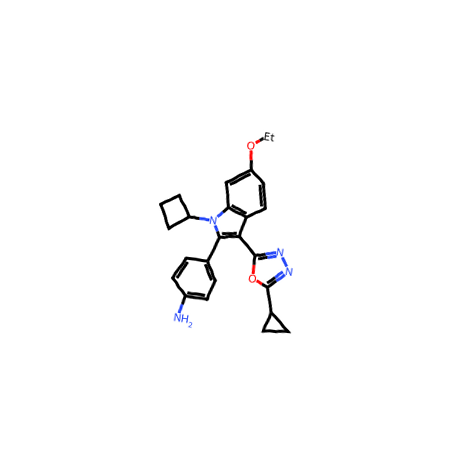 CCOc1ccc2c(-c3nnc(C4CC4)o3)c(-c3ccc(N)cc3)n(C3CCC3)c2c1